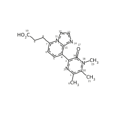 Cc1nc(-c2ccc(CCC(=O)O)n3ccnc23)c(=O)n(C)c1C